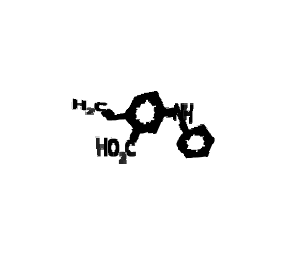 C=Cc1ccc(Nc2ccccc2)cc1C(=O)O